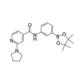 CC1(C)OB(c2cccc(NC(=O)c3ccnc(N4CCCC4)c3)c2)OC1(C)C